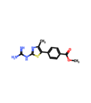 COC(=O)c1ccc(-c2sc(NC(=N)N)nc2C)cc1